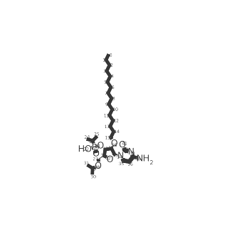 CCCCCCCCCCCCCCCCO[C@H]1[C@@H](OP(=O)(O)C(C)C)[C@@H](COC(C)C)O[C@H]1n1ccc(N)nc1=O